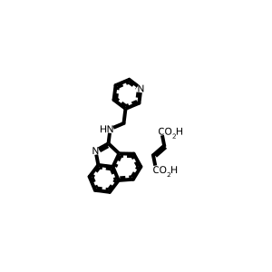 O=C(O)C=CC(=O)O.c1cncc(CNC2=Nc3cccc4cccc2c34)c1